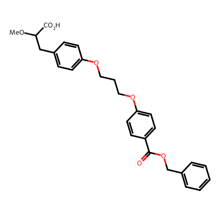 COC(Cc1ccc(OCCCOc2ccc(C(=O)OCc3ccccc3)cc2)cc1)C(=O)O